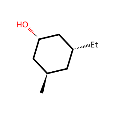 CC[C@@H]1C[C@@H](C)C[C@H](O)C1